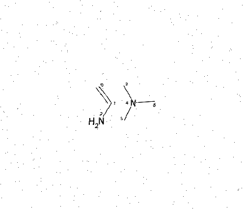 C=CN.CN(C)C